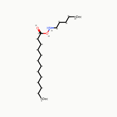 CCCCCCCCCCCCCCCCCCCCCC(=O)ONCCCCCCCCCCCCCC